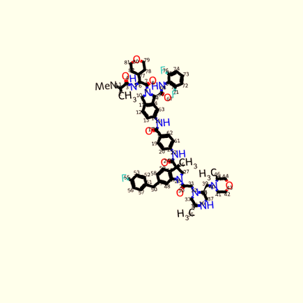 CNC(C)C(=O)NC(C(=O)N1Cc2ccc(NC(=O)c3ccc(NC(=O)C4(C)CN(C(=O)CN5C[C@@H](C)NC[C@@H]5CN5CCOC[C@H]5C)c5cc(Cc6ccc(F)cc6)ccc54)cc3)cc2[C@H]1C(=O)Nc1c(F)cccc1F)C1CCOCC1